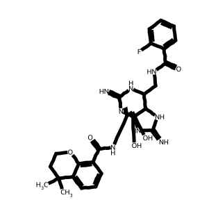 CC1(C)CCOc2c(C(=O)NC3CN4C(=N)NC(CNC(=O)c5ccccc5F)C5NC(=N)NC54C3(O)O)cccc21